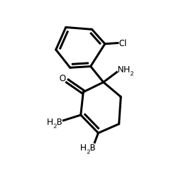 BC1=C(B)C(=O)C(N)(c2ccccc2Cl)CC1